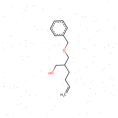 C=CCCC(CO)COCc1ccccc1